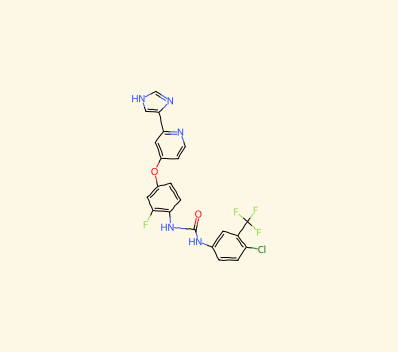 O=C(Nc1ccc(Cl)c(C(F)(F)F)c1)Nc1ccc(Oc2ccnc(-c3c[nH]cn3)c2)cc1F